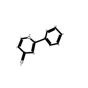 O=c1ccoc(-c2ccccc2)c1